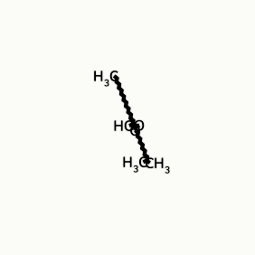 CCCCCCCCCCCCCCCCC(O)C(=O)OCCCCCCCCCC(C)C